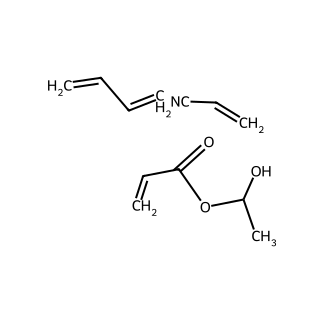 C=CC#N.C=CC(=O)OC(C)O.C=CC=C